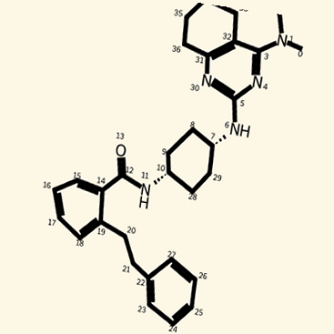 CN(C)c1nc(N[C@H]2CC[C@@H](NC(=O)c3ccccc3CCc3ccccc3)CC2)nc2c1CCCC2